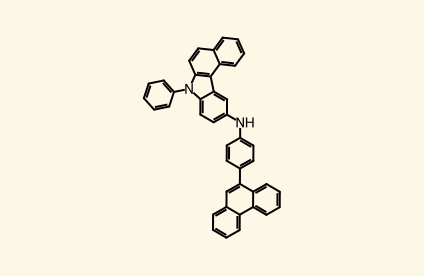 c1ccc(-n2c3ccc(Nc4ccc(-c5cc6ccccc6c6ccccc56)cc4)cc3c3c4ccccc4ccc32)cc1